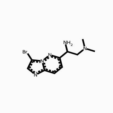 CN(C)CC(N)c1ccc2ncc(Br)n2n1